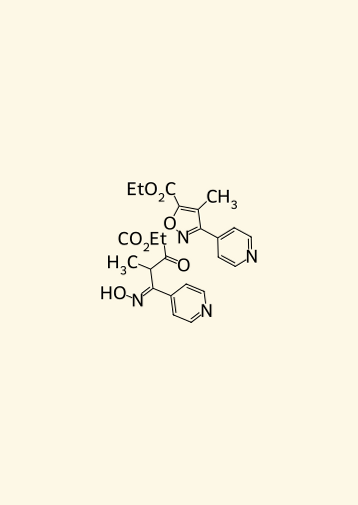 CCOC(=O)C(=O)C(C)C(=NO)c1ccncc1.CCOC(=O)c1onc(-c2ccncc2)c1C